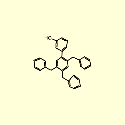 Oc1cccc(-c2cc(Cc3ccccc3)c(Cc3ccccc3)cc2Cc2ccccc2)c1